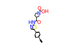 C#Cc1ccc(-c2cnc(NC(=O)C3CCN(C(=O)O)C3)s2)cc1